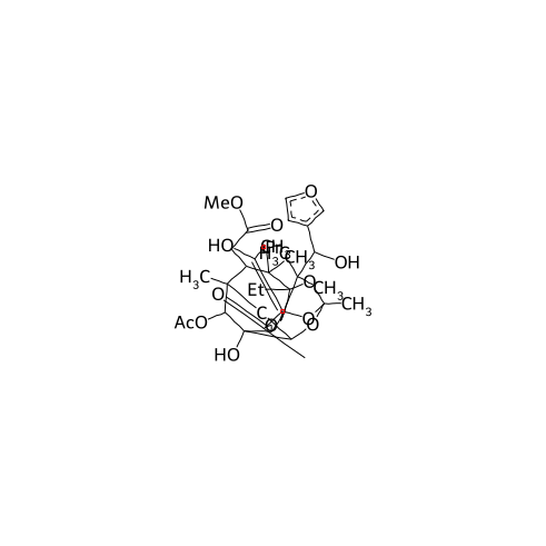 CCC12OC3(C)OC4CC(C)(C(OC(C)=O)C4(O)C4OC(=O)/C(=C(\O)C(C)C)C(C(C)(C)C(O)c5ccoc5)C41O3)C(CC(=O)OC)C2(C)C